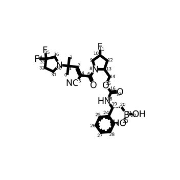 CC(C)(C=C(C#N)C(=O)N1CC(F)CC1COC(=O)N[C@H](CB(O)O)c1ccccc1)N1CCC(F)(F)C1